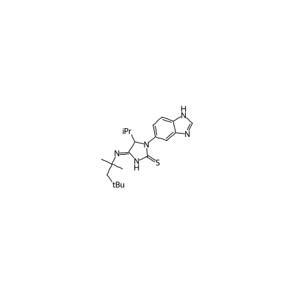 CC(C)C1C(=NC(C)(C)CC(C)(C)C)NC(=S)N1c1ccc2[nH]cnc2c1